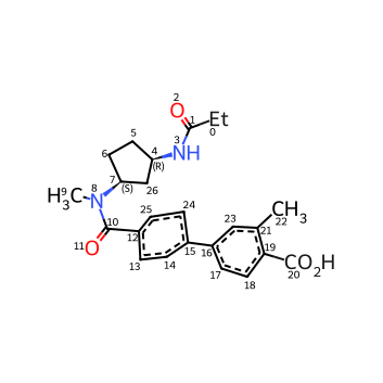 CCC(=O)N[C@@H]1CC[C@H](N(C)C(=O)c2ccc(-c3ccc(C(=O)O)c(C)c3)cc2)C1